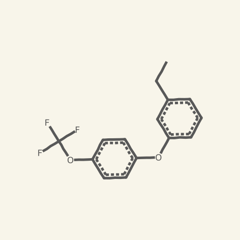 CCc1cccc(Oc2ccc(OC(F)(F)F)cc2)c1